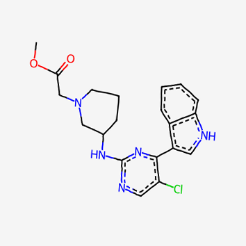 COC(=O)CN1CCCC(Nc2ncc(Cl)c(-c3c[nH]c4ccccc34)n2)C1